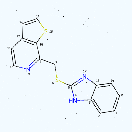 c1ccc2[nH]c(SCc3nccc4ccsc34)nc2c1